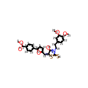 COC(=O)c1ccc(-c2ccc(/C=C3/SC(=S)N(CCc4ccc(OC)c(OC)c4)C3=O)o2)cc1